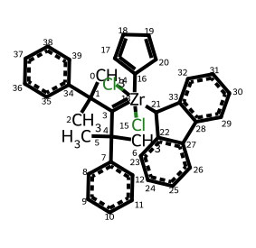 CC(C)([C](C(C)(C)c1ccccc1)=[Zr]([Cl])([Cl])([C]1=C=CC=C1)[CH]1c2ccccc2-c2ccccc21)c1ccccc1